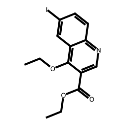 CCOC(=O)c1cnc2ccc(I)cc2c1OCC